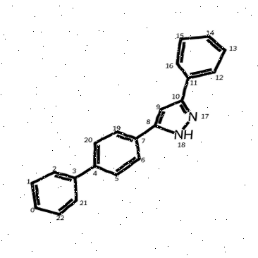 c1ccc(-c2ccc(-c3cc(-c4ccccc4)n[nH]3)cc2)cc1